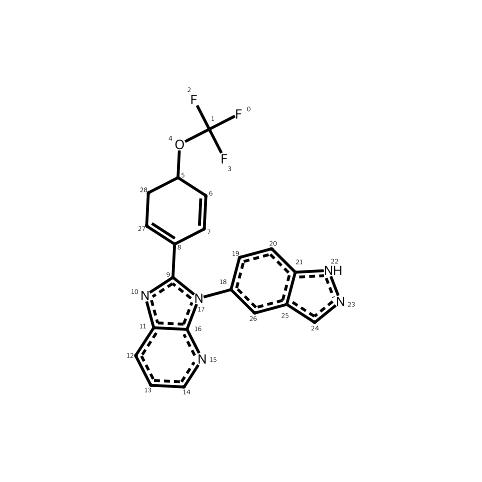 FC(F)(F)OC1C=CC(c2nc3cccnc3n2-c2ccc3[nH]ncc3c2)=CC1